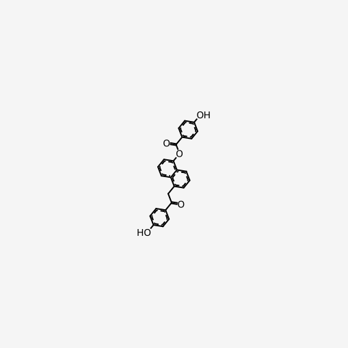 O=C(Cc1cccc2c(OC(=O)c3ccc(O)cc3)cccc12)c1ccc(O)cc1